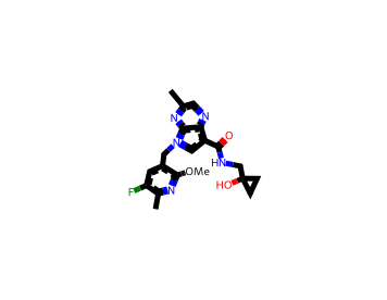 COc1nc(C)c(F)cc1Cn1cc(C(=O)NCC2(O)CC2)c2ncc(C)nc21